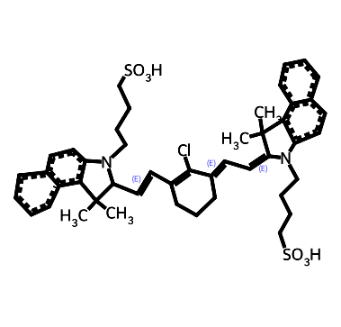 CC1(C)/C(=C\C=C2/CCCC(/C=C/C3N(CCCCS(=O)(=O)O)c4ccc5ccccc5c4C3(C)C)=C2Cl)N(CCCCS(=O)(=O)O)c2ccc3ccccc3c21